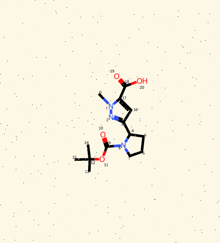 Cn1nc(C2CCCN2C(=O)OC(C)(C)C)cc1C(=O)O